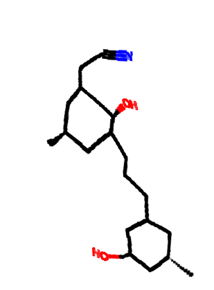 C[C@H]1CC(CC#N)[C@@H](O)C(CCCC2CC(O)C[C@@H](C)C2)C1